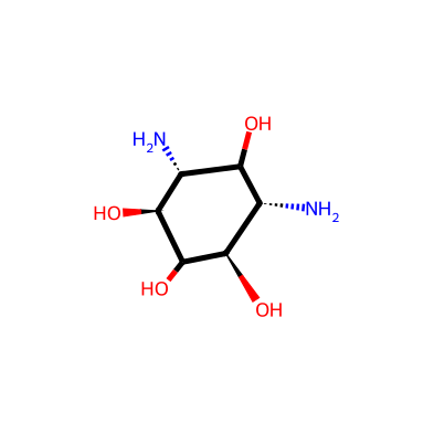 N[C@@H]1C(O)[C@H](N)[C@@H](O)C(O)[C@H]1O